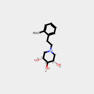 COc1ccccc1CCN1C[C@@H](O)C(O)[C@@H](O)C1